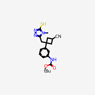 Cn1c(S)nnc1CC1(c2cccc(NC(=O)OC(C)(C)C)c2)CC(C#N)C1